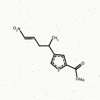 COC(=O)c1cc(C(C)CC=C[N+](=O)[O-])cs1